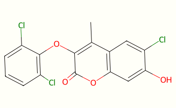 Cc1c(Oc2c(Cl)cccc2Cl)c(=O)oc2cc(O)c(Cl)cc12